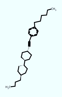 CCCCCCc1ccc(C#C[C@H]2CC[C@H]([C@H]3CC[C@H](CCCC)CC3)CC2)cc1